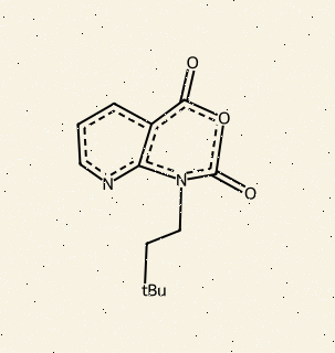 CC(C)(C)CCn1c(=O)oc(=O)c2cccnc21